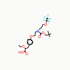 CCOC(Cc1ccc(OCCN(CCCOC(F)(F)C(F)(F)F)C(=O)OCC(C)(C)C)cc1)C(=O)O